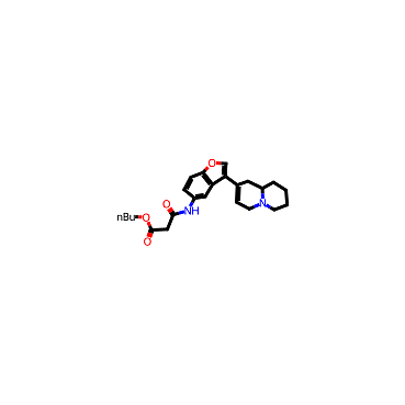 CCCCOC(=O)CC(=O)Nc1ccc2occ(C3=CCN4CCCCC4C3)c2c1